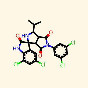 CC(C)C1NC2(C(=O)Nc3c(Cl)cc(Cl)cc32)C2C(=O)N(c3cc(Cl)cc(Cl)c3)C(=O)C12